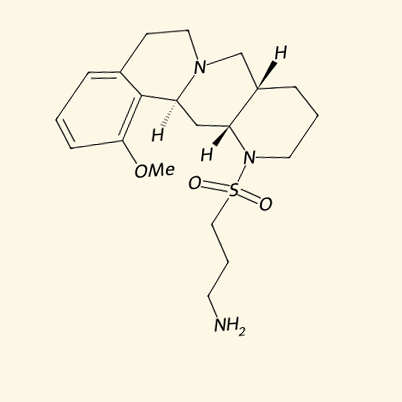 COc1cccc2c1[C@@H]1C[C@@H]3[C@@H](CCCN3S(=O)(=O)CCCN)CN1CC2